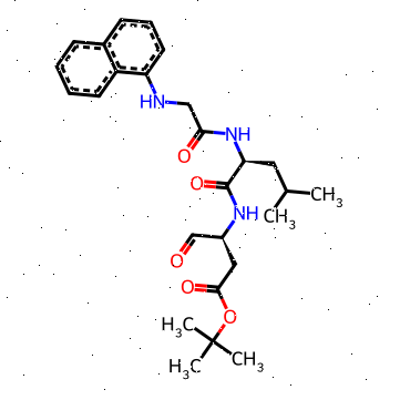 CC(C)C[C@H](NC(=O)CNc1cccc2ccccc12)C(=O)N[C@H](C=O)CC(=O)OC(C)(C)C